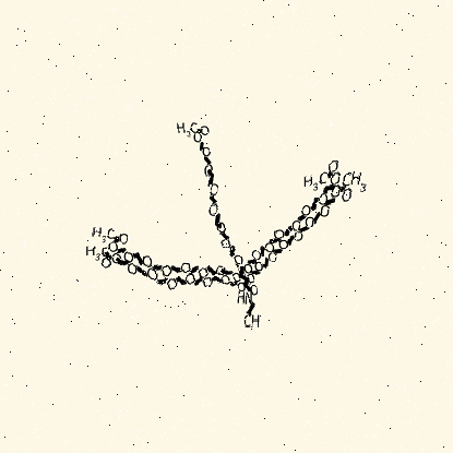 C#CCNC(=O)[C@H](OCCOCCOCCOCCOCCOCCOCCOC(C)=O)[C@@H](OCCOCCOCCOCCOCCOCCOCCOC(C)=O)[C@H](OCCOCCOCCOCCOCCOCCOCCOC(C)=O)[C@@H](COCCOCCOCCOCCOCCOCCOCCOC(C)=O)OCCOCCOCCOCCOCCOCCOCCOC(C)=O